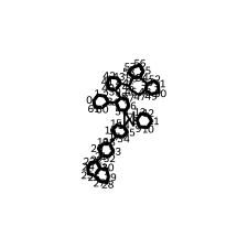 c1ccc(-c2cc(N(c3ccccc3)c3ccc(-c4ccc(-c5cccc6ccccc56)cc4)cc3)ccc2-c2ccccc2C2CCc3ccccc3-c3ccccc32)cc1